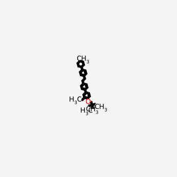 CCc1cc(-c2ccc(CCc3ccc(C4CCC(C)CC4)cc3)cc2)ccc1OCC(CC)(CC)CC